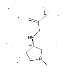 COC(=O)CN[C@@H]1CCN(C)C1